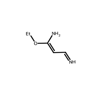 CCO/C(N)=C/C=N